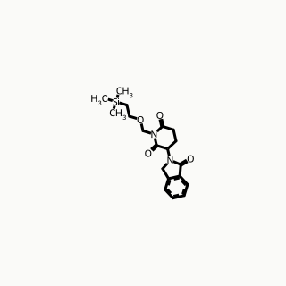 C[Si](C)(C)CCOCN1C(=O)CCC(N2Cc3ccccc3C2=O)C1=O